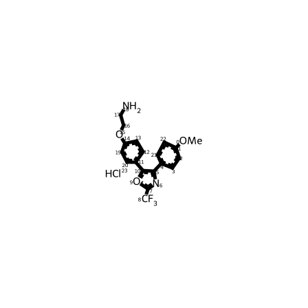 COc1ccc(-c2nc(C(F)(F)F)oc2-c2ccc(OCCN)cc2)cc1.Cl